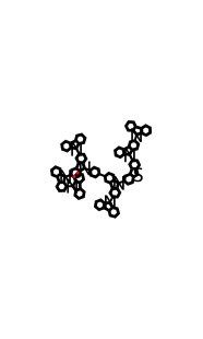 c1ccc2c(c1)c1ccccc1n2-c1ccc2c(c1)c1ccccc1n2-c1ccc2sc3ccc(-n4c5ccc(-c6ccc(-n7c8ccc(-n9c%10ccccc%10c%10ccccc%109)cc8c8cc(-n9c%10ccccc%10c%10cccc(-n%11c%12ccccc%12c%12ccccc%12%11)c%109)ccc87)cc6)cc5c5cc(-n6c7ccccc7c7ccccc76)ccc54)cc3c2c1